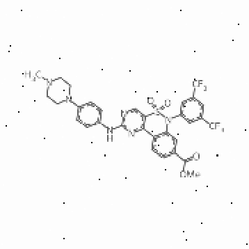 COC(=O)c1ccc2c(c1)N(c1cc(C(F)(F)F)cc(C(F)(F)F)c1)S(=O)(=O)c1cnc(Nc3ccc(N4CCN(C)CC4)cc3)nc1-2